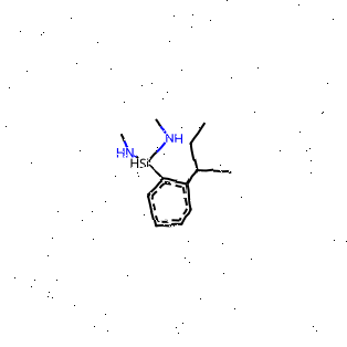 CCC(C)c1ccccc1[SiH](NC)NC